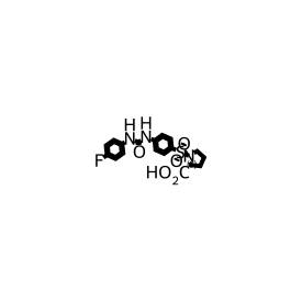 O=C(Nc1ccc(F)cc1)Nc1ccc(S(=O)(=O)N2CCC[C@H]2C(=O)O)cc1